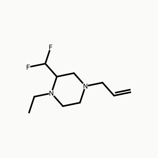 C=CCN1CCN(CC)C(C(F)F)C1